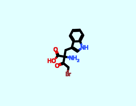 NC(Cc1c[nH]c2ccccc12)(C(=O)O)C(=O)CBr